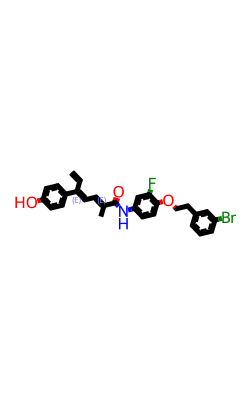 C=C/C(=C\C=C(/C)C(=O)Nc1ccc(OCCc2cccc(Br)c2)c(F)c1)c1ccc(O)cc1